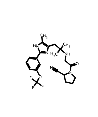 Cc1[nH]c(-c2cccc(OC(F)(F)F)c2)nc1CC(C)(C)NCC(=O)N1CCCC1C#N